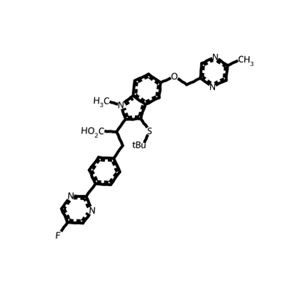 Cc1cnc(COc2ccc3c(c2)c(SC(C)(C)C)c(C(Cc2ccc(-c4ncc(F)cn4)cc2)C(=O)O)n3C)cn1